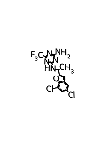 CC(Nc1nc(N)nc(C(F)(F)F)n1)c1cc2cc(Cl)cc(Cl)c2o1